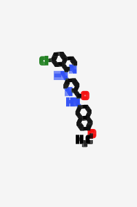 COc1ccc2c(c1)CC[C@H](NC(=O)c1ccc(Nc3nccc4ccc(Cl)cc34)cn1)C2